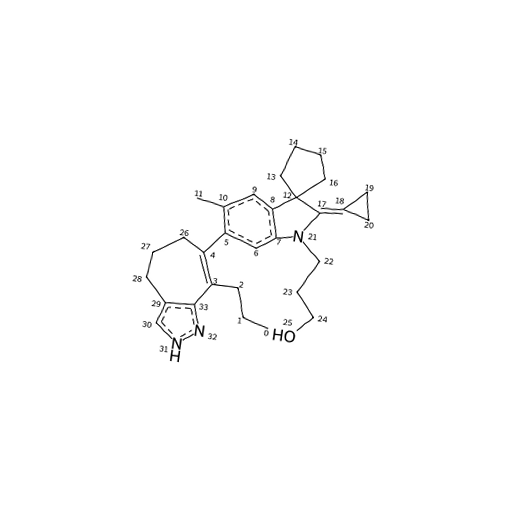 CCCC1=C(c2cc3c(cc2C)C2(CCCC2)C(=C2CC2)N3CCCO)CCCc2c[nH]nc21